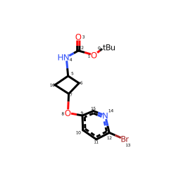 CC(C)(C)OC(=O)NC1CC(Oc2ccc(Br)nc2)C1